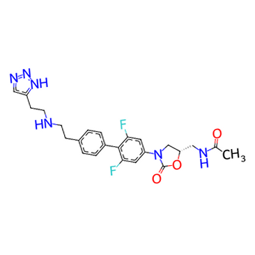 CC(=O)NC[C@H]1CN(c2cc(F)c(-c3ccc(CCNCCc4cnn[nH]4)cc3)c(F)c2)C(=O)O1